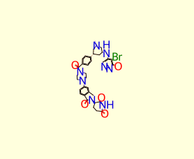 CN1C[C@H](Nc2cnn(C)c(=O)c2Br)C[C@H](c2ccc(C(=O)N3CCN(c4ccc5c(c4)CN(C4CCC(=O)NC4=O)C5=O)CC3)cc2)C1